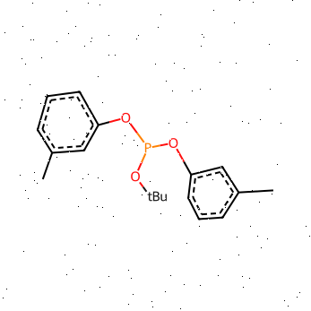 Cc1cccc(OP(Oc2cccc(C)c2)OC(C)(C)C)c1